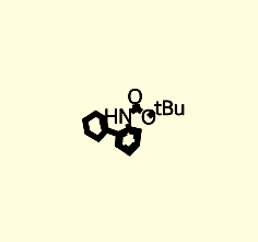 CC(C)(C)OC(=O)Nc1ccccc1C1=CCCCC1